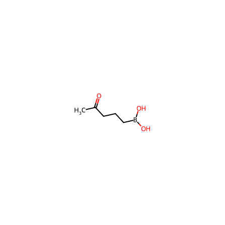 CC(=O)CCCB(O)O